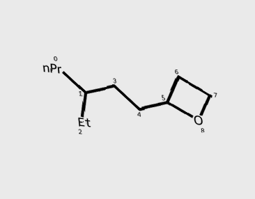 CCCC(CC)CCC1CCO1